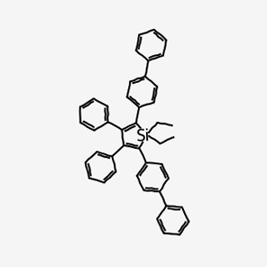 CC[Si]1(CC)C(c2ccc(-c3ccccc3)cc2)=C(c2ccccc2)C(c2ccccc2)=C1c1ccc(-c2ccccc2)cc1